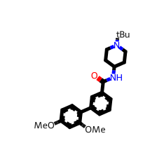 COc1ccc(-c2cccc(C(=O)NC3CCN(C(C)(C)C)CC3)c2)c(OC)c1